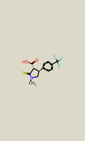 CN1C[C@H](c2ccc(C(F)(F)F)cc2)[C@@H](C(=O)O)C1=S